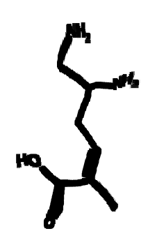 CC(=CCC(N)CN)C(=O)O